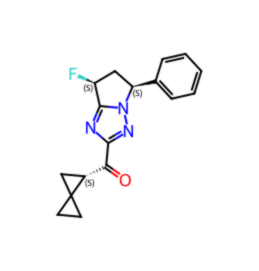 O=C(c1nc2n(n1)[C@H](c1ccccc1)C[C@@H]2F)[C@H]1CC12CC2